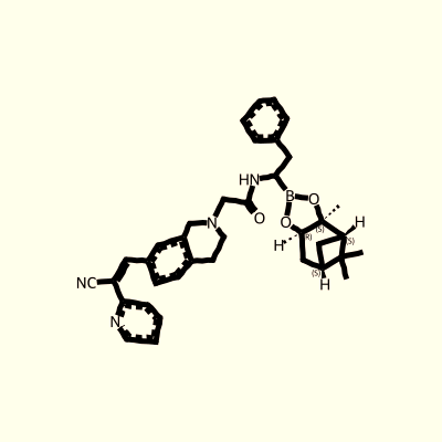 CC1(C)[C@@H]2C[C@H]3OB(C(Cc4ccccc4)NC(=O)CN4CCc5ccc(C=C(C#N)c6ccccn6)cc5C4)O[C@@]3(C)[C@H]1C2